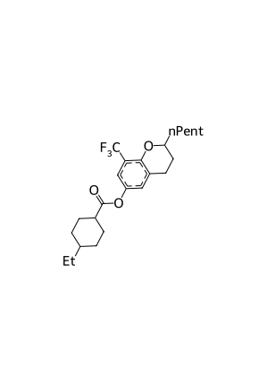 CCCCCC1CCc2cc(OC(=O)C3CCC(CC)CC3)cc(C(F)(F)F)c2O1